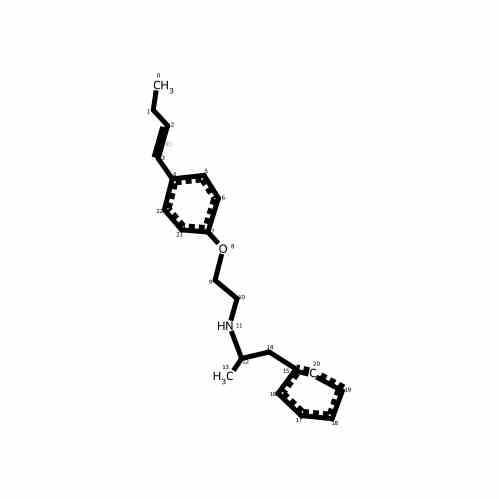 CC/C=C/c1ccc(OCCNC(C)Cc2ccccc2)cc1